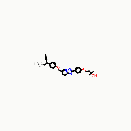 CC#CC(CC(=O)O)c1ccc(OCc2ccc3nc(-c4ccc(OCCC(C)(C)O)cc4)nn3c2)cc1